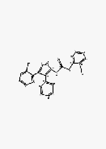 Cc1ccccc1-c1noc(NC(=O)Cc2ccccc2F)c1-c1ccncc1